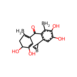 BC1=C(C(=O)c2c(C3B=C3)cc(O)c(O)c2B)C=C(O)C(O)C1